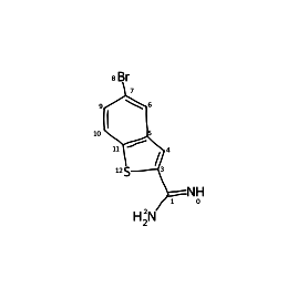 N=C(N)c1cc2cc(Br)ccc2s1